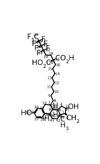 C=C1[C@H](O)C[C@H]2[C@@H]3[C@H](CCCCCCCCCC(CCC(F)(F)C(F)(F)C(F)(F)C(F)(F)F)(C(=O)O)C(=O)O)Cc4cc(O)ccc4[C@H]3CC[C@]12C